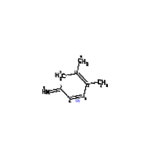 CC(C)=C(C)/C=C\C=N